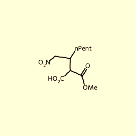 CCCCCC(C[N+](=O)[O-])C(C(=O)O)C(=O)OC